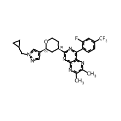 Cc1nc2nc([C@@H]3CCO[C@H](c4cnn(CC5CC5)c4)C3)nc(-c3ccc(C(F)(F)F)cc3F)c2nc1C